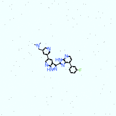 CN(C)Cc1cncc(-c2cnc3[nH]nc(-c4nc5c(-c6cccc(F)c6)ccnc5[nH]4)c3c2)c1